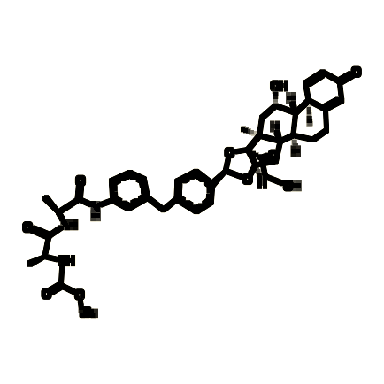 C[C@H](NC(=O)OC(C)(C)C)C(=O)N[C@@H](C)C(=O)Nc1cccc(Cc2ccc([C@@H]3O[C@@H]4C[C@H]5[C@@H]6CCC7=CC(=O)C=C[C@]7(C)[C@H]6[C@@H](O)C[C@]5(C)[C@]4(C(=O)CO)O3)cc2)c1